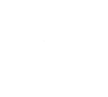 C1=N\CCCCCCCCC/1